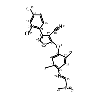 Cc1cc(Oc2snc(-c3ccc(Cl)cc3Cl)c2C#N)c(C)cc1N=CN(C)C